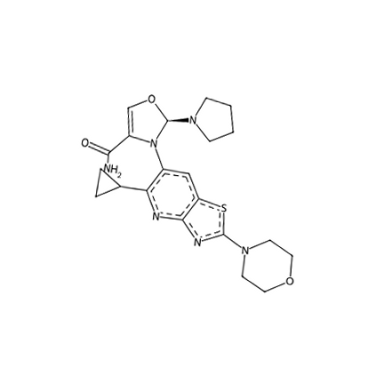 NC(=O)C1=CO[C@@H](N2CCCC2)N1c1cc2sc(N3CCOCC3)nc2nc1C1CC1